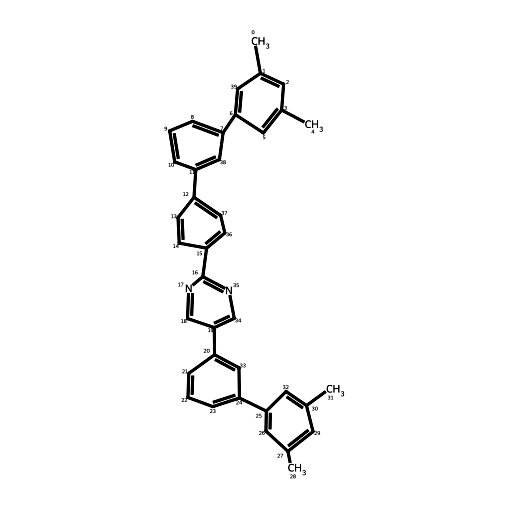 Cc1cc(C)cc(-c2cccc(-c3ccc(-c4ncc(-c5cccc(-c6cc(C)cc(C)c6)c5)cn4)cc3)c2)c1